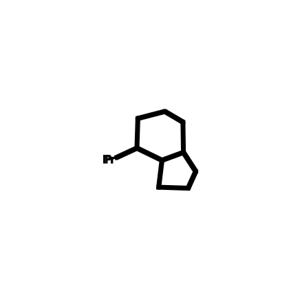 CC(C)C1CCCC2CCCC21